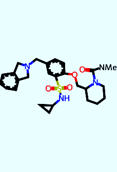 CNC(=O)N1CCCCC1COc1ccc(CN2Cc3ccccc3C2)cc1S(=O)(=O)NC1CC1